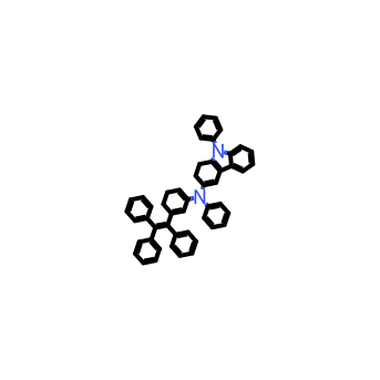 C1=C(C(=C(c2ccccc2)c2ccccc2)c2ccccc2)CCC=C1N(C1=Cc2c(n(-c3ccccc3)c3ccccc23)CC1)c1ccccc1